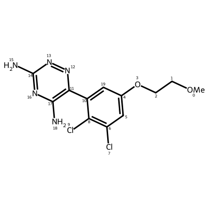 COCCOc1cc(Cl)c(Cl)c(-c2nnc(N)nc2N)c1